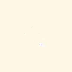 NC(=O)C1C\C=C/C=C/C=C/C1